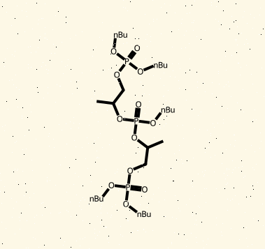 CCCCOP(=O)(OCCCC)OCC(C)OP(=O)(OCCCC)OC(C)COP(=O)(OCCCC)OCCCC